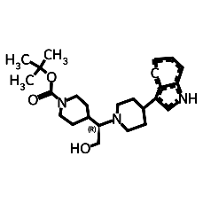 CC(C)(C)OC(=O)N1CCC([C@H](CO)N2CCC(c3c[nH]c4ccccc34)CC2)CC1